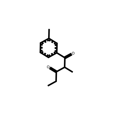 CCC(=O)C(C)C(=O)c1cccc(C)c1